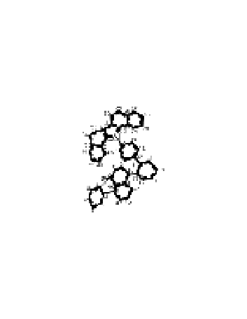 c1ccc2c(c1)Sc1ccc(-c3ccccc3-c3ccc(-n4c5c6ccccc6ccc5c5ccc6ccccc6c54)cc3)c3cccc-2c13